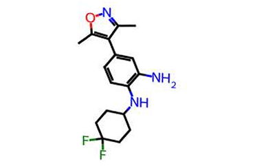 Cc1noc(C)c1-c1ccc(NC2CCC(F)(F)CC2)c(N)c1